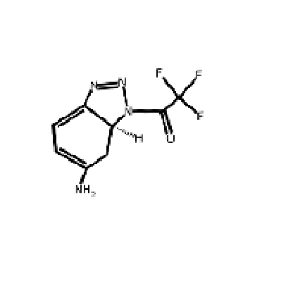 NC1=CC=C2N=NN(C(=O)C(F)(F)F)[C@H]2C1